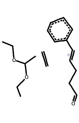 C=C.CCOC(C)OCC.O=CCC/C=C/c1ccccc1